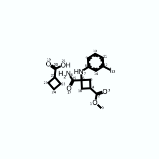 COC(=O)C1CC(Nc2cccc(I)c2)(C(N)=O)C1.O=C(O)C1CCC1